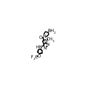 BC1CCN(C(=O)c2cc3c(Nc4ccc(OC(F)(F)F)cc4)ncnc3n2C)CC1